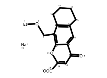 CCOCc1c2c(cc3c(=O)cc(C(=O)[O-])oc13)CCCC2.[Na+]